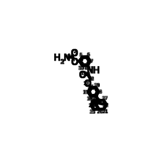 NC(=O)Oc1cccc(NC(=O)COc2ccc(C34CC5CC(CC(C5)C3)C4)cc2)c1